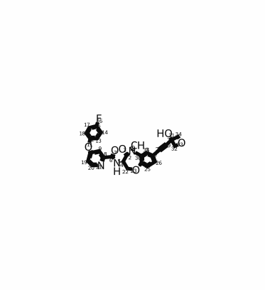 CN1C(=O)[C@@H](NC(=O)c2cc(Oc3ccc(F)cc3)ccn2)COc2ccc(C#CC3(O)COC3)cc21